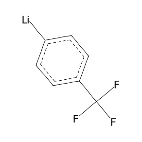 [Li][c]1ccc(C(F)(F)F)cc1